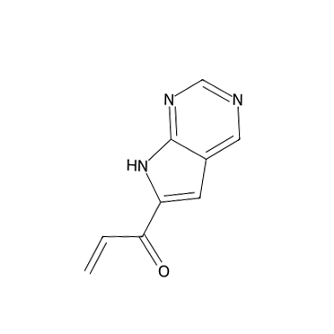 C=CC(=O)c1cc2cncnc2[nH]1